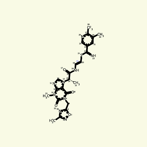 Cc1noc(Cn2c(=O)c3c(ncn3[C@@H](C)C(=O)N/C=C/SC(=N)c3cnc(C(F)(F)F)c(C)c3)n(C)c2=O)n1